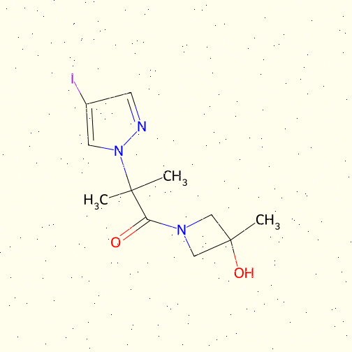 CC1(O)CN(C(=O)C(C)(C)n2cc(I)cn2)C1